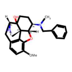 COc1ccc2c3c1O[C@H]1[C@H](N(C)Cc4ccccc4)CCC4(O)[C@@H](C2)NCC[C@]314